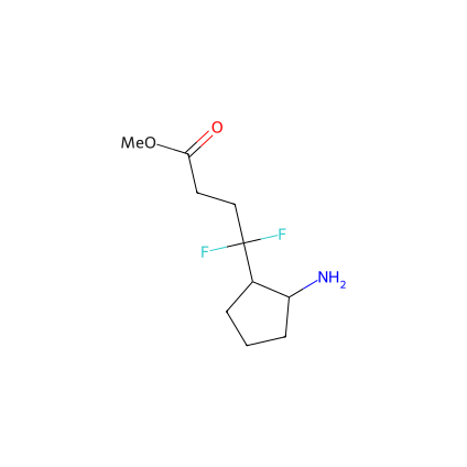 COC(=O)CCC(F)(F)C1CCCC1N